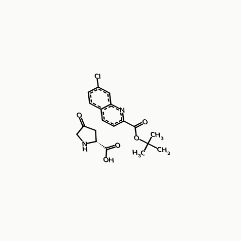 CC(C)(C)OC(=O)c1ccc2ccc(Cl)cc2n1.O=C1CN[C@@H](C(=O)O)C1